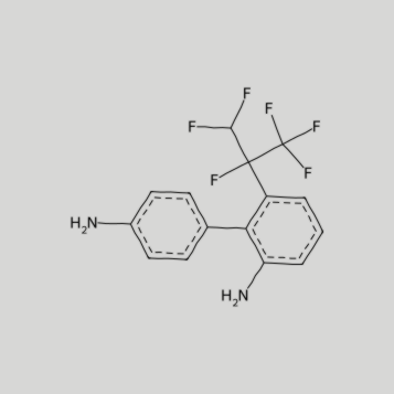 Nc1ccc(-c2c(N)cccc2C(F)(C(F)F)C(F)(F)F)cc1